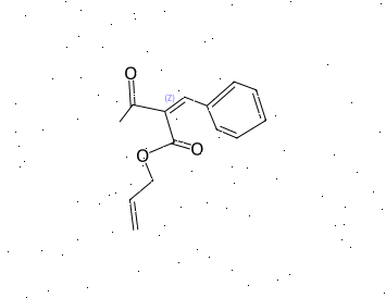 C=CCOC(=O)/C(=C\c1ccccc1)C(C)=O